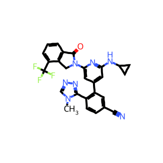 Cn1cnnc1-c1ccc(C#N)cc1-c1cc(NC2CC2)nc(N2Cc3c(cccc3C(F)(F)F)C2=O)c1